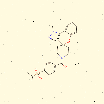 CC(C)S(=O)(=O)c1ccc(C(=O)N2CCC3(CC2)Oc2ccccc2-c2c3cnn2C)cc1